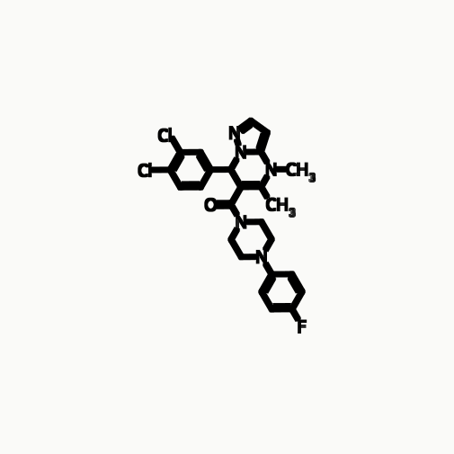 CC1=C(C(=O)N2CCN(c3ccc(F)cc3)CC2)C(c2ccc(Cl)c(Cl)c2)n2nccc2N1C